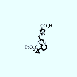 CCOC(=O)C1(c2cccn3cc(Cn4cc(C(=O)O)cn4)nc23)CC1